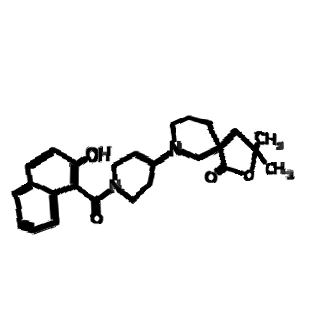 CC1(C)CC2(CCCN(C3CCN(C(=O)c4c(O)ccc5ccccc45)CC3)C2)C(=O)O1